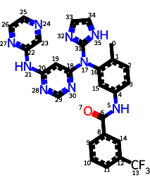 Cc1ccc(NC(=O)c2cccc(C(F)(F)F)c2)cc1N(c1cc(Nc2cnccn2)ncn1)c1ncc[nH]1